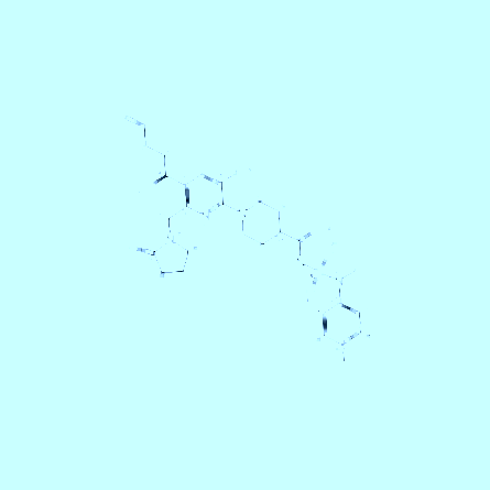 C=CCCC(=O)c1cc(Cl)c(N2CCC(C(=O)NS(=O)(=O)N(C)c3ccc(F)cc3)CC2)nc1CN1CCCC1=O